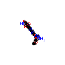 Nc1ncnc2c1c(-c1ccc(Oc3ccccc3)cc1)nn2C1CC2CN(C3CC(N4Cc5cc6c(cc5C4)C(=O)N(C4CCC(=O)NC4=O)C6=O)C3)CC2C1